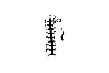 C=CCN.O=S(=O)(O)C(F)(F)C(F)(F)C(F)(F)C(F)(F)C(F)(F)C(F)(F)C(F)(F)C(F)(F)C(F)F